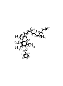 Cc1c(C#N)c2c(c(C)c1OCc1ccccc1)CCC(C)(CCCC(C)CCCC(C)CCCC(C)C)O2